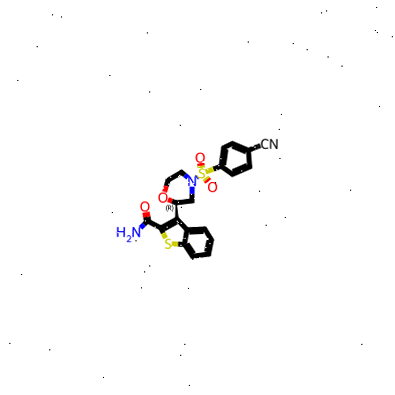 N#Cc1ccc(S(=O)(=O)N2CCO[C@H](c3c(C(N)=O)sc4ccccc34)C2)cc1